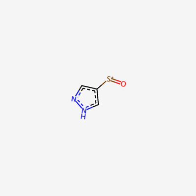 O=[S+]c1cn[nH]c1